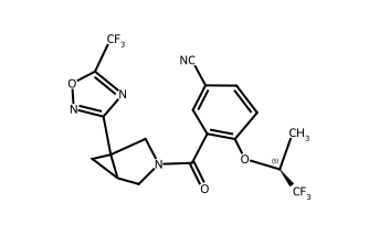 C[C@H](Oc1ccc(C#N)cc1C(=O)N1CC2CC2(c2noc(C(F)(F)F)n2)C1)C(F)(F)F